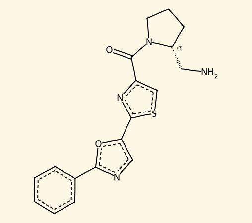 NC[C@H]1CCCN1C(=O)c1csc(-c2cnc(-c3ccccc3)o2)n1